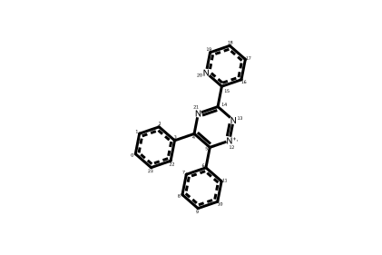 c1ccc(C2=C(c3ccccc3)[N+]=NC(c3ccccn3)=N2)cc1